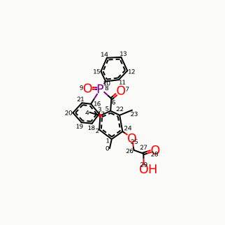 Cc1cc(C)c(C(=O)P(=O)(c2ccccc2)c2ccccc2)c(C)c1OCC(=O)O